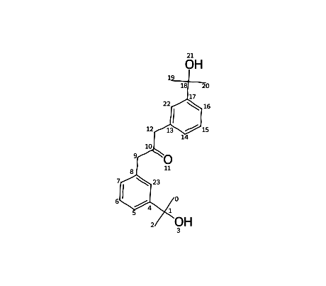 CC(C)(O)c1cccc(CC(=O)Cc2cccc(C(C)(C)O)c2)c1